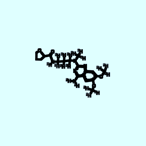 [2H]N([2H])c1nc(N(C([2H])([2H])[2H])C([2H])([2H])C([2H])([2H])C([2H])([2H])N([2H])C(=O)C2CCCO2)nc2cc(OC([2H])([2H])[2H])c(OC([2H])([2H])[2H])cc12